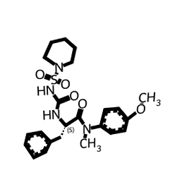 COc1ccc(N(C)C(=O)[C@H](Cc2ccccc2)NC(=O)NS(=O)(=O)N2CCCCC2)cc1